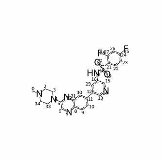 CN1CCN(c2cnc3ccc(-c4cncc(NS(=O)(=O)c5ccc(F)cc5F)c4)cc3n2)CC1